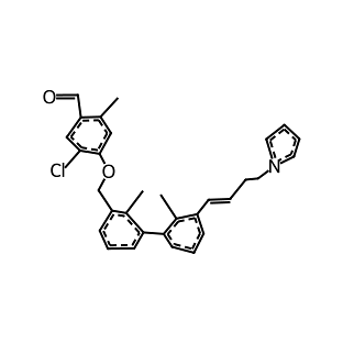 Cc1cc(OCc2cccc(-c3cccc(C=CCCn4cccc4)c3C)c2C)c(Cl)cc1C=O